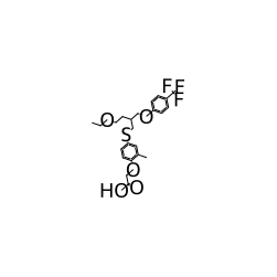 CCOCCC(COc1ccc(C(F)(F)F)cc1)CSc1ccc(OCC(=O)O)c(C)c1